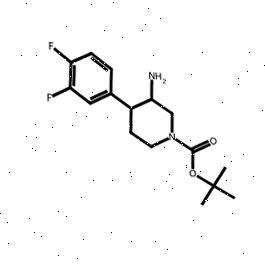 CC(C)(C)OC(=O)N1CCC(c2ccc(F)c(F)c2)C(N)C1